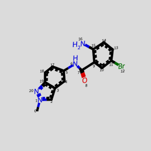 Cn1cc2cc(NC(=O)c3cc(Br)ccc3N)ccc2n1